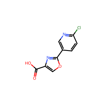 O=C(O)c1coc(-c2ccc(Cl)nc2)n1